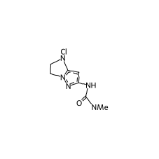 CNC(=O)Nc1cc2n(n1)CCN2Cl